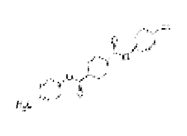 CCc1ccc(OC(=O)[C@H]2CC[C@H](C(=O)Oc3ccc(C)cc3)CC2)cc1